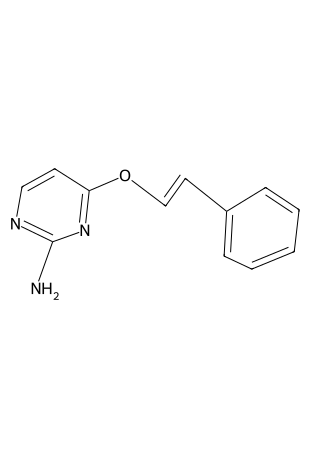 Nc1nccc(OC=Cc2ccccc2)n1